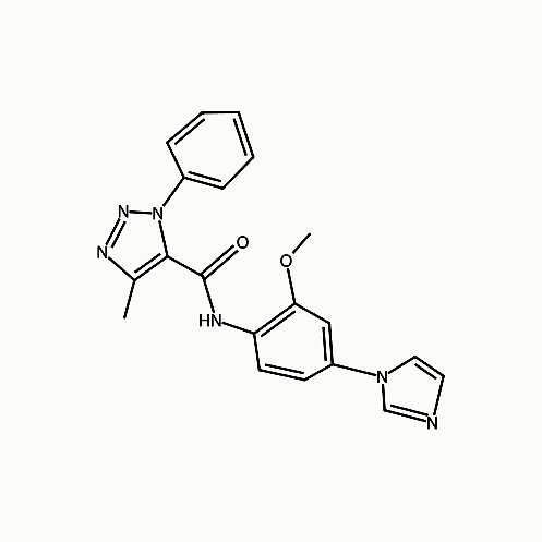 COc1cc(-n2ccnc2)ccc1NC(=O)c1c(C)nnn1-c1ccccc1